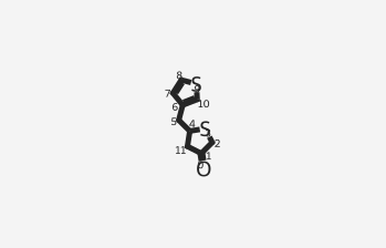 O=C1CSC(Cc2ccsc2)C1